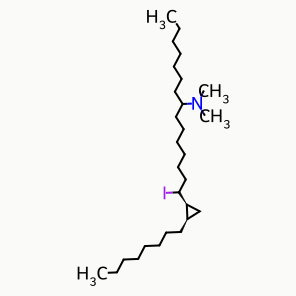 CCCCCCCC[C@@H]1C[C@@H]1C(I)CCCCCCC(CCCCCCC)N(C)C